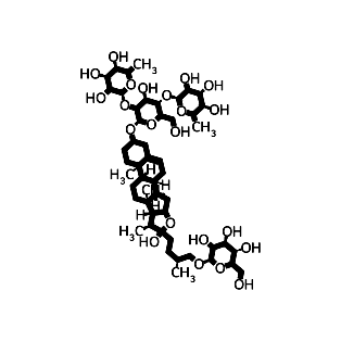 CC1O[C@@H](OC2[C@H](OC3CC[C@@]4(C)C(=CC[C@H]5[C@@H]6CC7OC(O)(CC[C@@H](C)CO[C@@H]8OC(CO)[C@@H](O)[C@H](O)C8O)[C@@H](C)[C@@H]7[C@@]6(C)CC[C@@H]54)C3)OC(CO)[C@@H](O[C@@H]3OC(C)[C@H](O)[C@H](O)C3O)[C@@H]2O)C(O)[C@@H](O)[C@H]1O